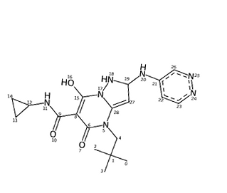 CC(C)(C)CN1C(=O)C(C(=O)NC2CC2)=C(O)N2NC(Nc3ccnnc3)C=C12